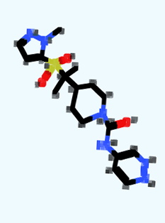 Cn1nccc1S(=O)(=O)C(C)(C)C1CCN(C(=O)Nc2ccnnc2)CC1